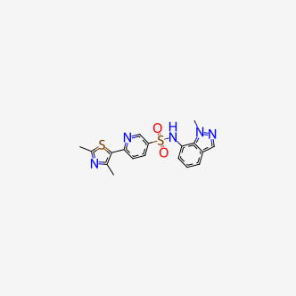 Cc1nc(C)c(-c2ccc(S(=O)(=O)Nc3cccc4cnn(C)c34)cn2)s1